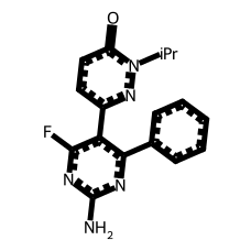 CC(C)n1nc(-c2c(F)nc(N)nc2-c2ccccc2)ccc1=O